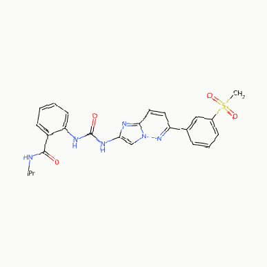 CC(C)NC(=O)c1ccccc1NC(=O)Nc1cn2nc(-c3cccc(S(C)(=O)=O)c3)ccc2n1